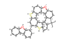 CC1(C)c2ccc3oc4ccc5sc6cc(-c7cccc8c7oc7ccccc78)c7sc8ccc1c1c2c3c4c5c6c7c81